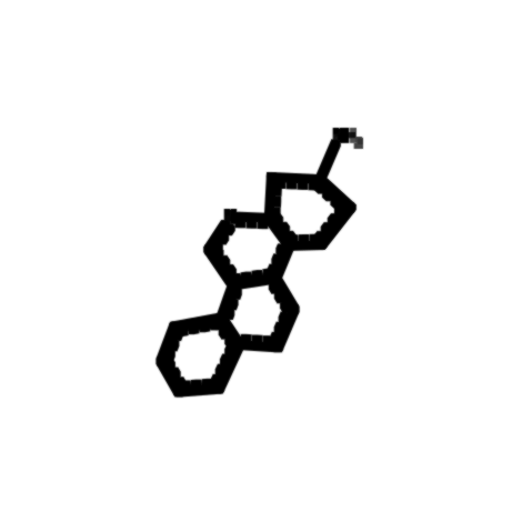 Nc1ccc2c(c1)ncc1c3ccccc3ccc21